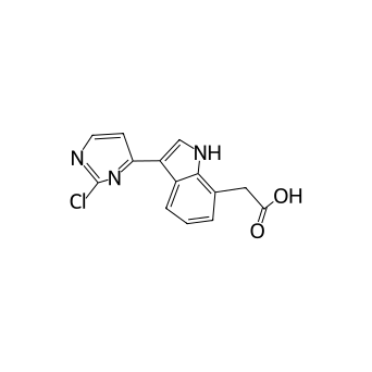 O=C(O)Cc1cccc2c(-c3ccnc(Cl)n3)c[nH]c12